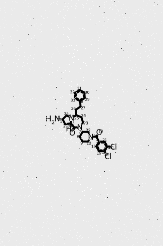 N[C@@H]1C[C@H]2C(=O)N([C@H]3CCCN(C(=O)c4ccc(Cl)c(Cl)c4)C3)CCC(CCc3ccccc3)N2C1